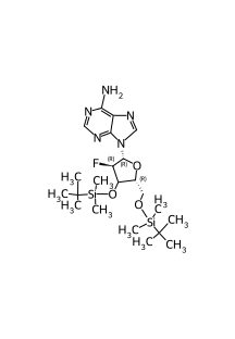 CC(C)(C)[Si](C)(C)OC[C@H]1O[C@@H](n2cnc3c(N)ncnc32)[C@H](F)C1O[Si](C)(C)C(C)(C)C